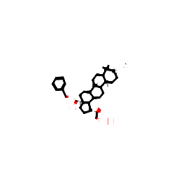 CC(=O)O[C@@H]1CC[C@@]2(C)C(CC[C@]3(C)C2CCC2C4[C@H](C(=O)CO)CC[C@]4(C(=O)OCc4ccccc4)CC[C@]23C)C1(C)C